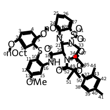 CCCCCCCCOc1ccc(OCCCCCCCC)c(Sc2ccc(OC)cc2NC(=O)C(C2=Nc3ccccc3S(=O)(=O)N2CCCOc2ccc(C)cc2C)N2C(=O)OC(C)(C)C2=O)c1